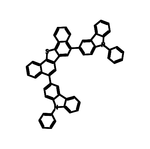 c1ccc(-n2c3ccccc3c3cc(-c4cc5c6cc(-c7ccc8c(c7)c7ccccc7n8-c7ccccc7)c7ccccc7c6sc5c5ccccc45)ccc32)cc1